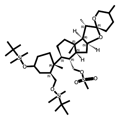 CC1CC[C@@]2(OC1)O[C@H]1C[C@H]3[C@H](COS(C)(=O)=O)[C@@H]([C@@]4(C)CCC(O[Si](C)(C)C(C)(C)C)C[C@@H]4CO[Si](C)(C)C(C)(C)C)CC[C@]3(C)[C@H]1[C@@H]2C